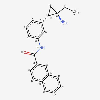 CC[C@@]1(N)C[C@H]1c1cccc(NC(=O)c2ccc3ccccc3c2)c1